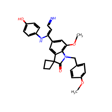 COc1ccc(CN2C(=O)C3(CCC3)c3cc(/C(=C/C=N)Nc4ccc(O)cc4)cc(OC)c32)cc1